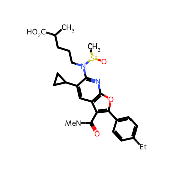 CCc1ccc(-c2oc3nc(N(CCCC(C)C(=O)O)[S+](C)[O-])c(C4CC4)cc3c2C(=O)NC)cc1